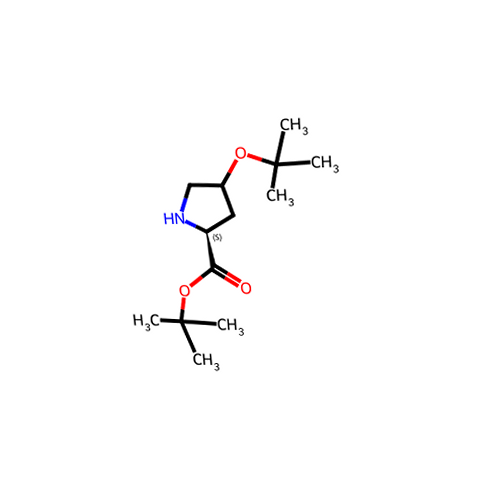 CC(C)(C)OC(=O)[C@@H]1CC(OC(C)(C)C)CN1